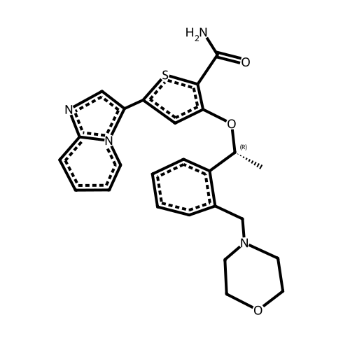 C[C@@H](Oc1cc(-c2cnc3ccccn23)sc1C(N)=O)c1ccccc1CN1CCOCC1